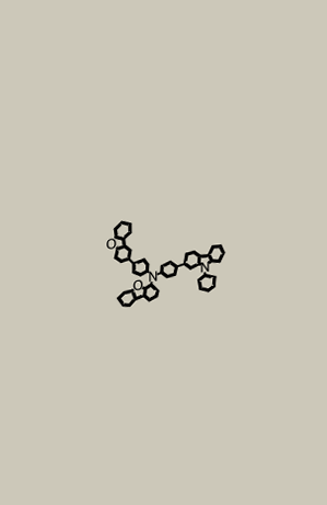 c1ccc(-n2c3ccccc3c3ccc(-c4ccc(N(c5ccc(-c6ccc7oc8ccccc8c7c6)cc5)c5cccc6c5oc5ccccc56)cc4)cc32)cc1